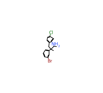 CC(N)C(C)(Cc1ccc(Cl)cc1)c1cccc(Br)c1